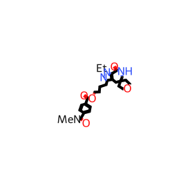 CCn1nc(CCCCOC(=O)c2ccc(C(=O)NC)cc2)c2c1C(=O)NCC1(CCOCC1)C2